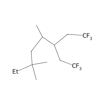 CCC(C)(C)CC(C)C(CC(F)(F)F)CC(F)(F)F